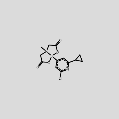 C[N+]12CC(=O)O[B-]1(c1cc(Cl)nc(C3CC3)c1)OC(=O)C2